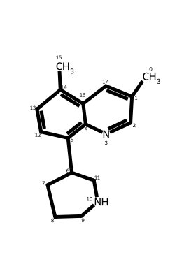 Cc1cnc2c(C3CCCNC3)ccc(C)c2c1